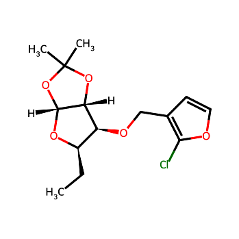 CC[C@H]1O[C@@H]2OC(C)(C)O[C@@H]2[C@H]1OCc1ccoc1Cl